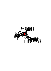 C[C@]12C=CC(=O)C=C1[C@@H](F)CC1C3CC[C@](OC(=O)CCCON(O)O)(C(=O)COC(=O)CCCC(CON(O)O)ON(O)O)[C@@]3(C)C[C@H](O)[C@@]12F